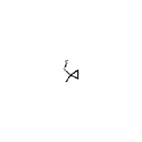 CC1(SCl)CC1